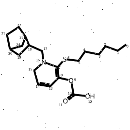 CCCCCCSC1=C(OC(=O)O)C=CCN1CC1CC2CCC1C2